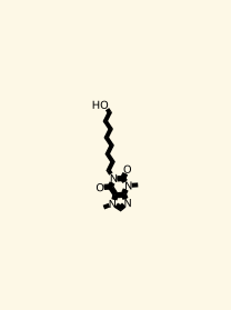 Cn1cnc2c1c(=O)n(CCCCCCCCO)c(=O)n2C